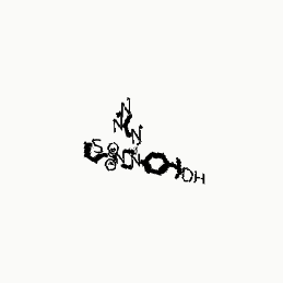 CN(Cc1cn(C)cn1)C[C@H]1CN(S(=O)(=O)c2cccs2)CCN1c1ccc(C(C)(C)O)cc1